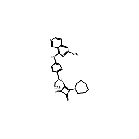 Cc1cc2ccncc2c(Nc2ccc([C@H](CC(=O)O)Nc3c(N4CCCCCC4)c(=O)c3=O)cc2)n1